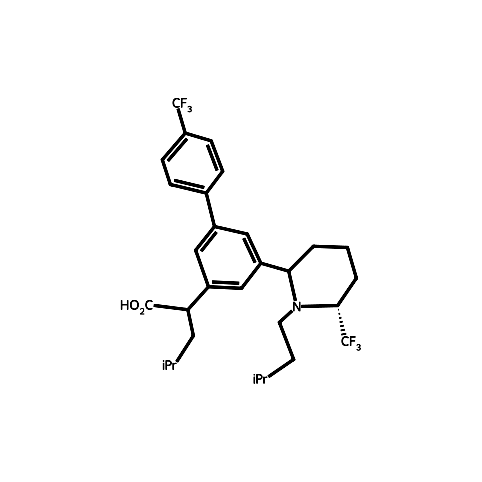 CC(C)CCN1C(c2cc(-c3ccc(C(F)(F)F)cc3)cc(C(CC(C)C)C(=O)O)c2)CCC[C@@H]1C(F)(F)F